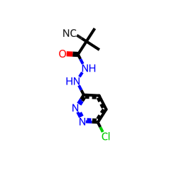 CC(C)(C#N)C(=O)NNc1ccc(Cl)nn1